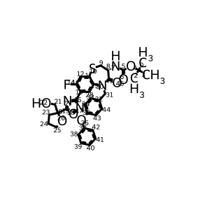 CC(C)(C)OC(=O)N[C@H]1CSc2cc(F)c(-c3noc(C4(CO)CCCO4)n3)cc2N(Cc2ccc(Oc3ccccc3)cc2)C1=O